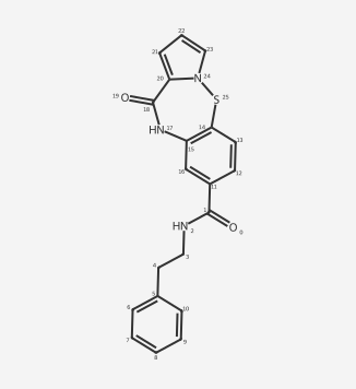 O=C(NCCc1ccccc1)c1ccc2c(c1)NC(=O)c1cccn1S2